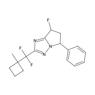 CC1(C(F)(F)c2nc3n(n2)C(c2ccccc2)CC3F)CCC1